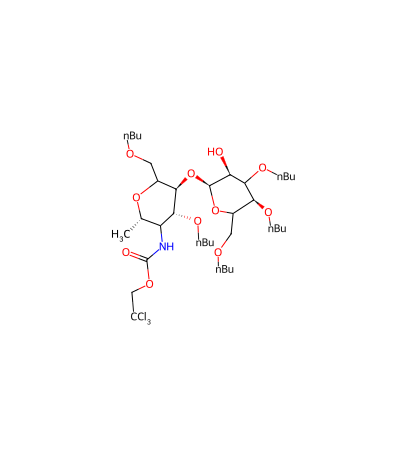 CCCCOCC1O[C@@H](O[C@@H]2C(COCCCC)O[C@@H](C)C(NC(=O)OCC(Cl)(Cl)Cl)[C@H]2OCCCC)[C@@H](O)C(OCCCC)[C@H]1OCCCC